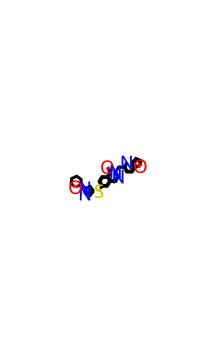 O=c1c2ccc(Sc3cnn(C4CCCCO4)c3)cc2cnn1Cc1ccc2occc2n1